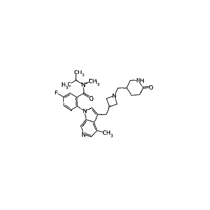 Cc1cncc2c1c(CC1CN(CC3CCC(=O)NC3)C1)cn2-c1ccc(F)cc1C(=O)N(C)C(C)C